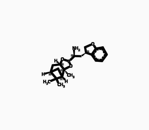 CC1(C)[C@@H]2C[C@H]3OB([C@@H](N)C[C@@H]4COc5ccccc54)O[C@@]3(C)[C@H]1C2